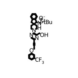 CC(C)(C)[S+]([O-])N[C@@H]1c2ccccc2CC12CCN(c1ncc(C#CCOc3cccc(C(F)(F)F)c3)nc1CO)CC2